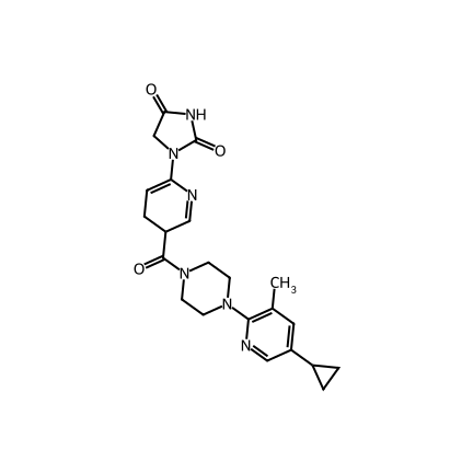 Cc1cc(C2CC2)cnc1N1CCN(C(=O)C2C=NC(N3CC(=O)NC3=O)=CC2)CC1